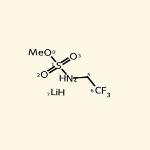 COS(=O)(=O)NCC(F)(F)F.[LiH]